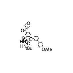 COc1ccc(-c2cccc(Oc3ccc(C(=O)N4CCOCC4)cc3S(=O)(=O)NC(=O)NC(C)(C)C)c2)cc1